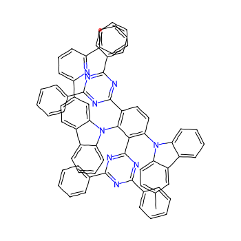 Cc1ccc2c(c1)c1ccccc1n2-c1ccc(-c2nc(-c3ccccc3)nc(-c3ccccc3)n2)c(-n2c3ccccc3c3ccc(-c4cccc(-c5ccccc5)n4)cc32)c1-c1nc(-c2ccccc2)nc(-c2ccccc2)n1